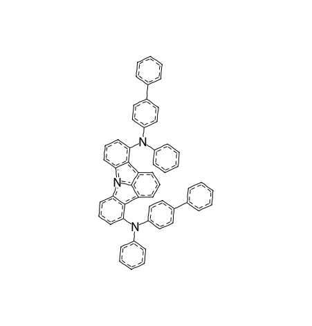 c1ccc(-c2ccc(N(c3ccccc3)c3cccc4c3c3cccc5c6c(N(c7ccccc7)c7ccc(-c8ccccc8)cc7)cccc6n4c35)cc2)cc1